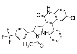 CC(=O)N1NC(c2c(-c3ccccc3)c3cc(Cl)ccc3[nH]c2=O)CC1c1ccc(C(F)(F)F)cc1